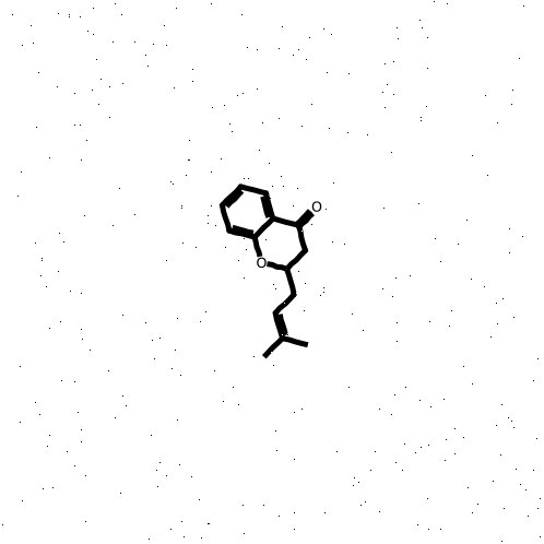 CC(C)=CCC1CC(=O)c2ccccc2O1